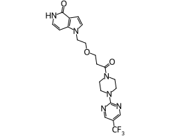 O=C(CCOCCn1ccc2c(=O)[nH]ccc21)N1CCN(c2ncc(C(F)(F)F)cn2)CC1